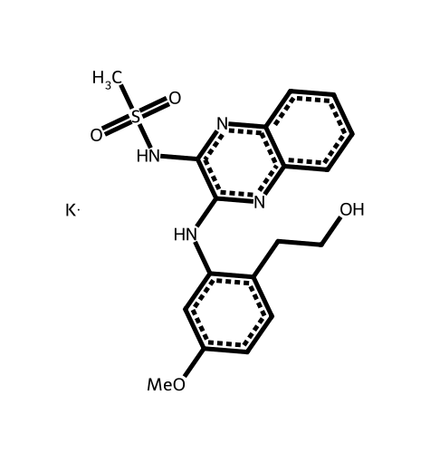 COc1ccc(CCO)c(Nc2nc3ccccc3nc2NS(C)(=O)=O)c1.[K]